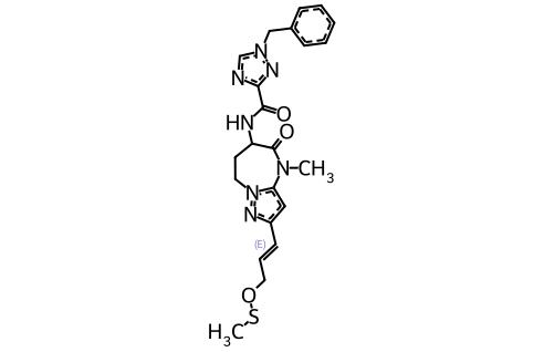 CSOC/C=C/c1cc2n(n1)CCC(NC(=O)c1ncn(Cc3ccccc3)n1)C(=O)N2C